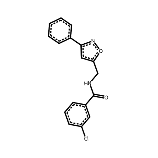 O=C(NCc1cc(-c2ccccc2)no1)c1cccc(Cl)c1